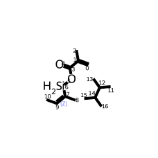 C=C(C)C(=O)O[SiH2]/C(C)=C\C.CC(C)C(C)C